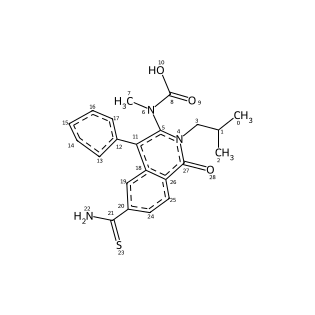 CC(C)Cn1c(N(C)C(=O)O)c(-c2ccccc2)c2cc(C(N)=S)ccc2c1=O